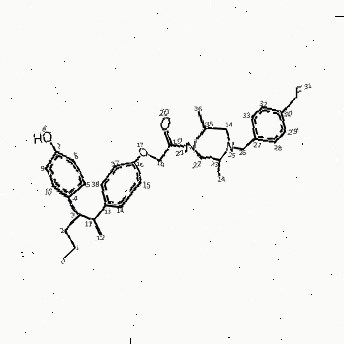 CCCC(c1ccc(O)cc1)C(C)c1ccc(OCC(=O)N2CC(C)N(Cc3ccc(F)cc3)CC2C)cc1